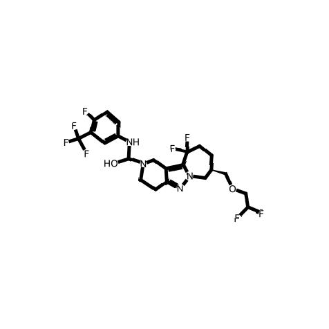 OC(Nc1ccc(F)c(C(F)(F)F)c1)N1CCc2nn3c(c2C1)C(F)(F)CC[C@@H](COCC(F)F)C3